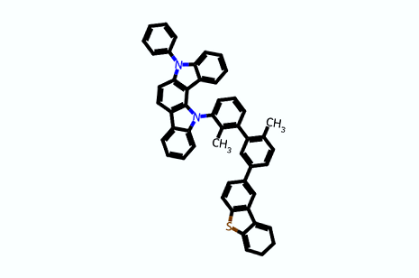 Cc1ccc(-c2ccc3sc4c(c3c2)=CCCC=4)cc1-c1cccc(-n2c3ccccc3c3ccc4c(c5ccccc5n4-c4ccccc4)c32)c1C